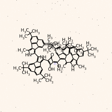 C=C(C1=C(/C(C)=C2\C(=O)C(c3[nH]c(-c4[nH]c(C)c5c4-c4cc(C(C)(C)C)cc6cc(C(C)(C)C)cc-5c46)c4c3-c3cc(C(C)(C)C)cc5cc(C(C)(C)C)cc-4c35)=C2O)c2cc(C(C)(C)C)cc3cc(C(C)(C)C)cc1c23)c1[nH]c(C)c2c1-c1cc(C(C)(C)C)cc3cc(C(C)(C)C)cc-2c13